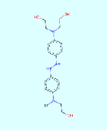 CCN(CCO)c1ccc(NNc2ccc(N(CCO)CCO)cc2)cc1